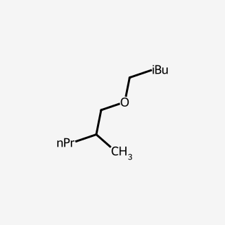 CCCC(C)COCC(C)CC